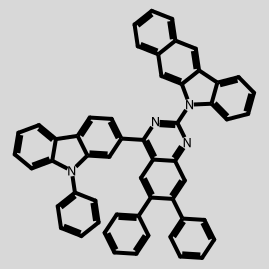 c1ccc(-c2cc3nc(-n4c5ccccc5c5cc6ccccc6cc54)nc(-c4ccc5c6ccccc6n(-c6ccccc6)c5c4)c3cc2-c2ccccc2)cc1